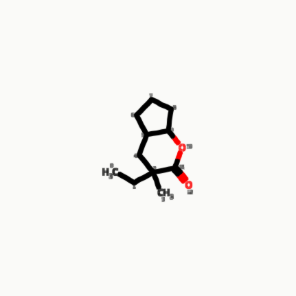 CCC1(C)CC2CCCC2OC1=O